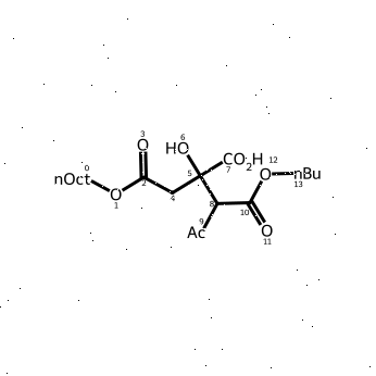 CCCCCCCCOC(=O)CC(O)(C(=O)O)C(C(C)=O)C(=O)OCCCC